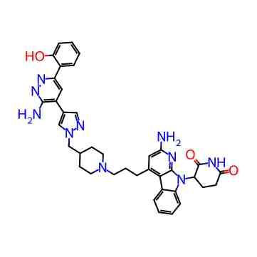 Nc1cc(CCCN2CCC(Cn3cc(-c4cc(-c5ccccc5O)nnc4N)cn3)CC2)c2c3ccccc3n(C3CCC(=O)NC3=O)c2n1